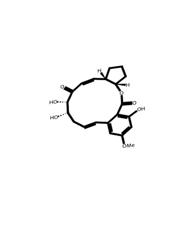 COc1cc(O)c2c(c1)/C=C/C[C@H](O)[C@H](O)C(=O)/C=C\[C@@H]1CCC[C@@H]1OC2=O